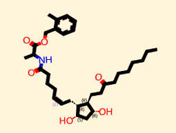 CCCCCCCC(=O)CC[C@@H]1[C@@H](C/C=C\CCCC(=O)NC(C)C(=O)OCc2ccccc2C)[C@@H](O)C[C@H]1O